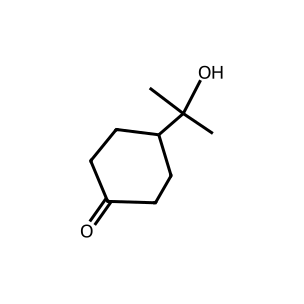 CC(C)(O)C1CCC(=O)CC1